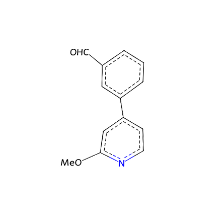 COc1cc(-c2cccc(C=O)c2)ccn1